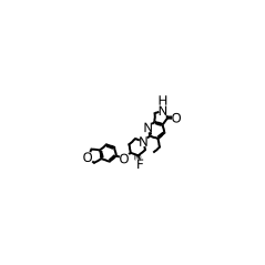 CCc1cc2c(nc1N1CCC(Oc3ccc4c(c3)COC4)[C@H](F)C1)CNC2=O